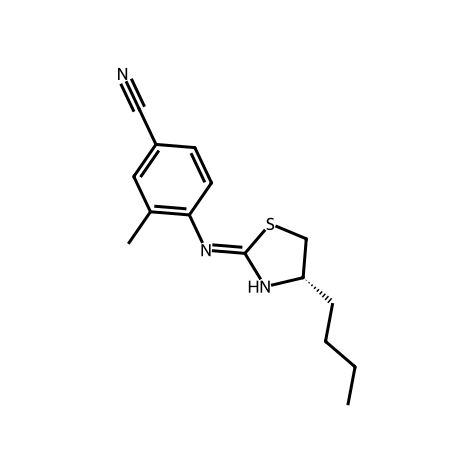 CCCC[C@H]1CSC(=Nc2ccc(C#N)cc2C)N1